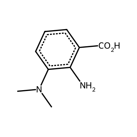 CN(C)c1cccc(C(=O)O)c1N